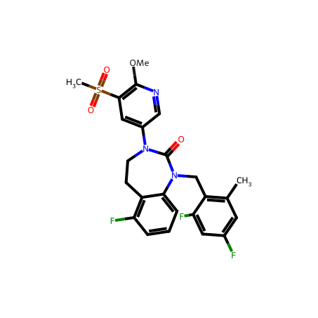 COc1ncc(N2CCc3c(F)cccc3N(Cc3c(C)cc(F)cc3F)C2=O)cc1S(C)(=O)=O